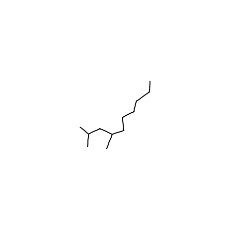 CCCCCCC(C)CC(C)C